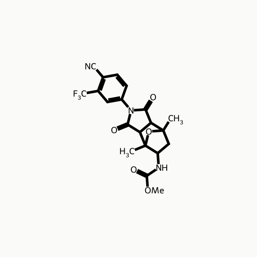 COC(=O)NC1CC2(C)OC1(C)C1C(=O)N(c3ccc(C#N)c(C(F)(F)F)c3)C(=O)C12